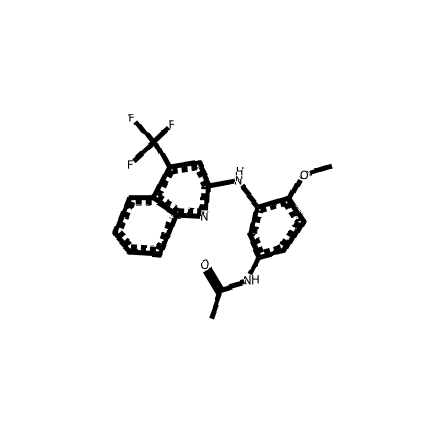 COc1ccc(NC(C)=O)cc1Nc1cc(C(F)(F)F)c2ccccc2n1